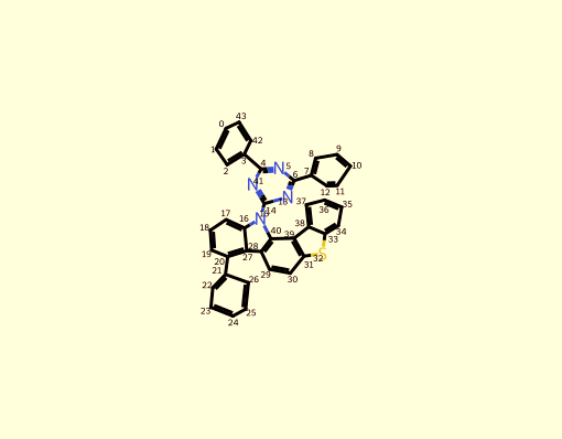 c1ccc(-c2nc(-c3ccccc3)nc(-n3c4cccc(-c5ccccc5)c4c4ccc5sc6ccccc6c5c43)n2)cc1